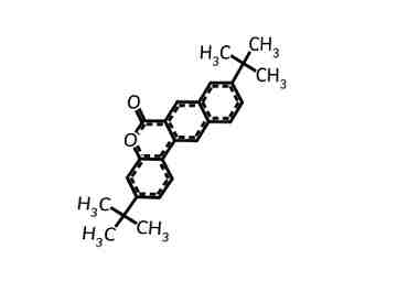 CC(C)(C)c1ccc2cc3c(cc2c1)c(=O)oc1cc(C(C)(C)C)ccc13